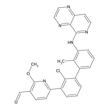 COc1nc(-c2cccc(-c3cccc(Nc4nccc5nccnc45)c3C)c2Cl)ccc1C=O